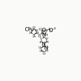 COC[C@H]1CN(C2CCN(c3ccccn3)CC2)C(Cc2ccc(Cl)cc2)CO1